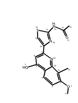 COc1ccc2c(O)cc(-c3csc(NC(C)=O)n3)nc2c1C